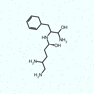 NCC(N)CC[C@H](O)NC(CC1C=CC=CC1)C(N)O